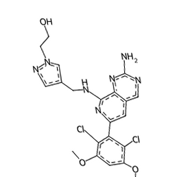 COc1cc(OC)c(Cl)c(-c2cc3cnc(N)nc3c(NCc3cnn(CCO)c3)n2)c1Cl